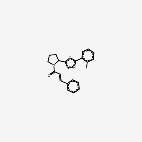 O=C(C=Cc1ccccc1)N1CCCC1c1nnc(-c2ccccc2F)o1